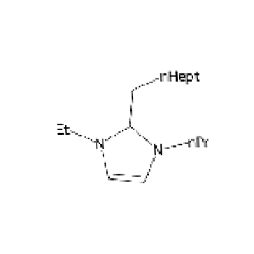 CCCCCCCCC1N(CC)C=CN1CCC